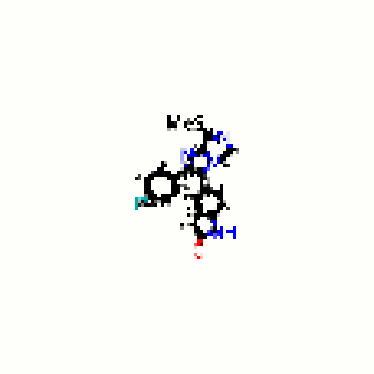 CSc1nccn2c(-c3ccc4c(c3)CC(=O)N4)c(-c3ccc(F)cc3)nc12